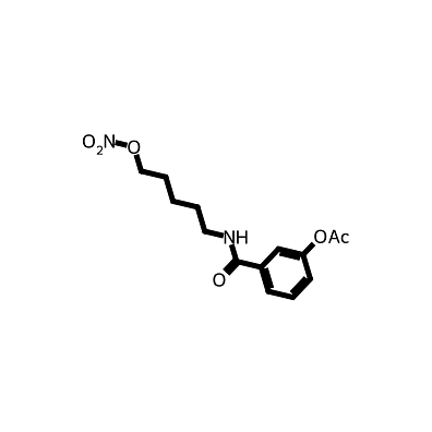 CC(=O)Oc1cccc(C(=O)NCCCCCO[N+](=O)[O-])c1